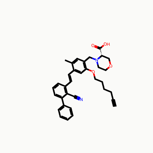 C#CCCCCOc1cc(/C=C/c2cccc(-c3ccccc3)c2C#N)c(C)cc1CN1CCOC[C@H]1C(=O)O